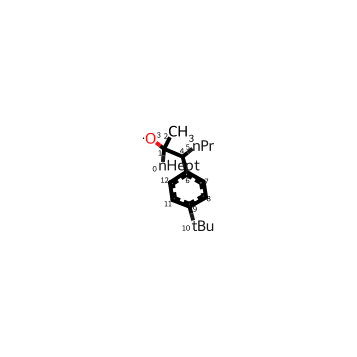 CCCCCCCC(C)([O])C(CCC)c1ccc(C(C)(C)C)cc1